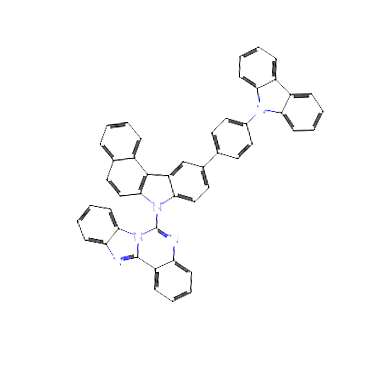 c1ccc2c(c1)ccc1c2c2cc(-c3ccc(-n4c5ccccc5c5ccccc54)cc3)ccc2n1-c1nc2ccccc2c2nc3ccccc3n12